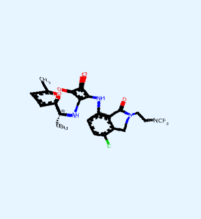 Cc1ccc([C@H](Nc2c(Nc3ccc(Cl)c4c3C(=O)N(CCNC(F)(F)F)C4)c(=O)c2=O)C(C)(C)C)o1